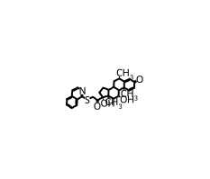 C[C@H]1CC2C([C@@H](O)CC3(C)C2CC[C@]3(O)C(=O)CSc2nccc3ccccc23)C2(C)C=CC(=O)C=C12